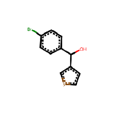 OC(c1ccc(Br)cc1)c1ccsc1